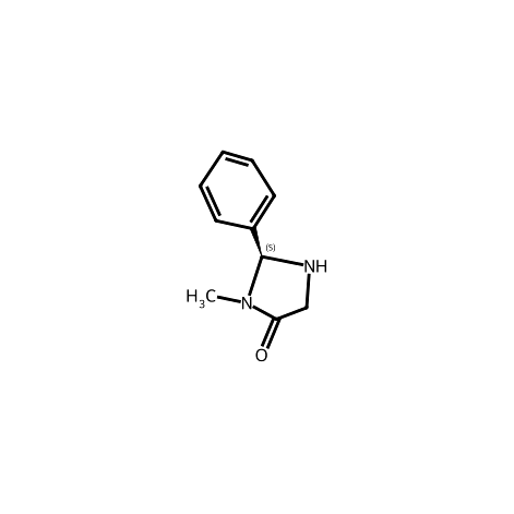 CN1C(=O)CN[C@@H]1c1ccccc1